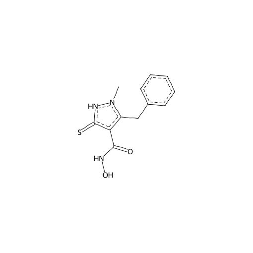 Cn1[nH]c(=S)c(C(=O)NO)c1Cc1ccccc1